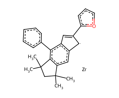 CC1(C)CC(C)(C)c2c1cc1c(c2-c2ccccc2)C=C(c2ccco2)[CH]1.[Zr]